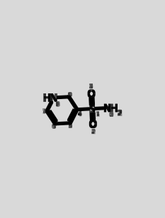 NS(=O)(=O)C1=CC=CNC1